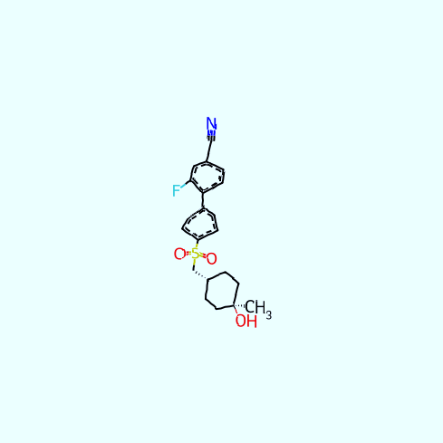 C[C@]1(O)CC[C@H](CS(=O)(=O)c2ccc(-c3ccc(C#N)cc3F)cc2)CC1